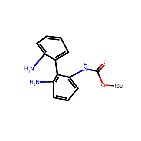 CC(C)(C)OC(=O)Nc1cccc(N)c1-c1ccccc1N